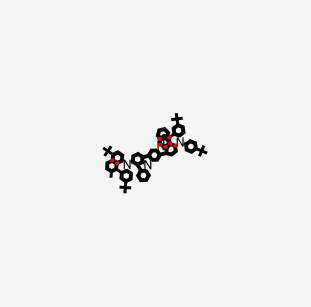 Cc1ccccc1-c1cc(C(C)(C)C)ccc1N(c1ccc(C(C)(C)C)cc1)c1ccc2c3cc4c(cc3n3c5ccccc5c1c23)c1ccc(N(c2ccc(C(C)(C)C)cc2)c2ccc(C(C)(C)C)cc2-c2ccccc2C)c2c3ccccc3n4c12